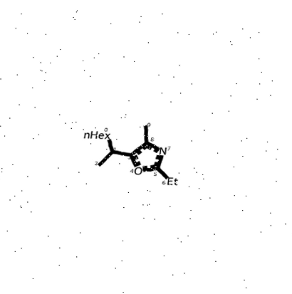 CCCCCCC(C)c1oc(CC)nc1C